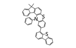 CC1(C)c2ccccc2-c2c1ccc1c2N(c2ccccc2)c2cc(-c3cccc4c3sc3ccccc34)ccc2S1